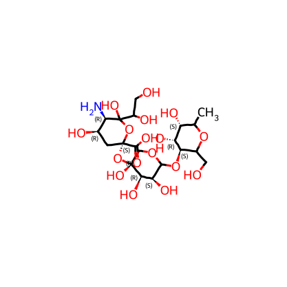 CC1OC(CO)[C@@H](OC2OC[C@@](O)(O[C@]3(C(=O)O)C[C@@H](O)[C@@H](N)C(O)(C(O)CO)O3)[C@H](O)[C@@H]2O)[C@H](O)[C@@H]1O